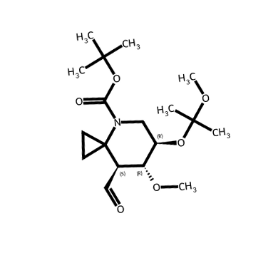 CO[C@@H]1[C@@H](C=O)C2(CC2)N(C(=O)OC(C)(C)C)C[C@H]1OC(C)(C)OC